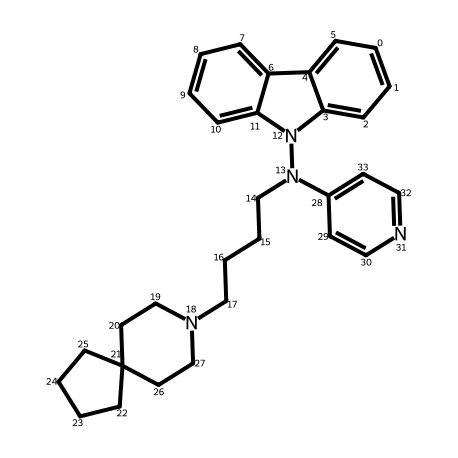 c1ccc2c(c1)c1ccccc1n2N(CCCCN1CCC2(CCCC2)CC1)c1ccncc1